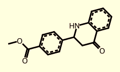 COC(=O)c1ccc(C2CC(=O)c3ccccc3N2)cc1